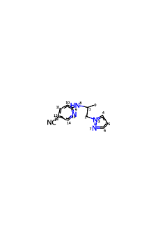 CC(Cn1cccn1)Nc1ccc(C#N)cn1